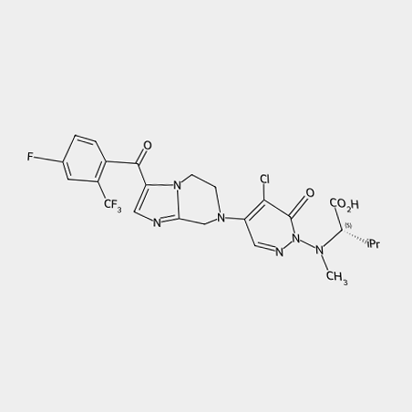 CC(C)[C@@H](C(=O)O)N(C)n1ncc(N2CCn3c(C(=O)c4ccc(F)cc4C(F)(F)F)cnc3C2)c(Cl)c1=O